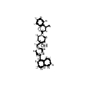 CC(CC(=O)N1CCC(O)(CN2C=CC(c3cccc4ccccc34)=NC2)CC1)c1ccccc1